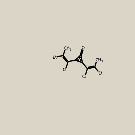 CC/C(C)=C(\Cl)c1c(/C(Cl)=C(\C)CC)c1=O